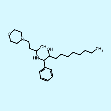 CCCCCCCCC(O)C(NC(O)CCN1CCOCC1)c1ccccc1